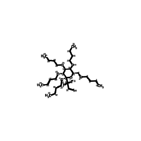 CCCCOC[C@H]1O[C@@](OCCCC)(C(F)(F)CI)[C@H](OCCCC)[C@@H](OCCCC)[C@H]1OCCCC